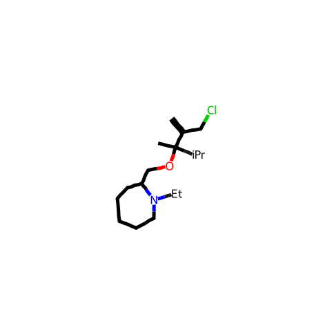 C=C(CCl)C(C)(OCC1CCCCCN1CC)C(C)C